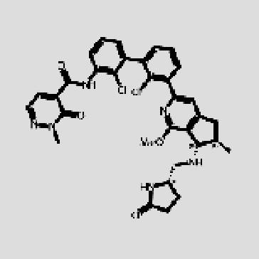 COc1nc(-c2cccc(-c3cccc(NC(=O)c4ccnn(C)c4=O)c3Cl)c2Cl)cc2c1[C@@H](NC[C@@H]1CCC(=O)N1)[C@H](C)C2